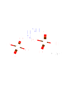 N.N.O=S(=O)(O)O.O=S(=O)([O-])[O-].[Ca+2]